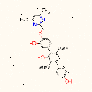 COc1cc(-c2ccc(O)cc2)c(OC)c(O)c1-c1ccc(OCc2nc(C)cc(C)n2)c(O)c1